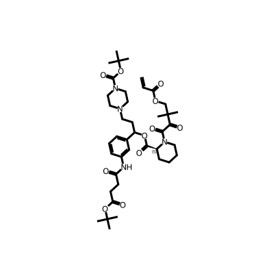 C=CC(=O)OCC(C)(C)C(=O)C(=O)N1CCCC[C@H]1C(=O)OC(CCN1CCN(C(=O)OC(C)(C)C)CC1)c1cccc(NC(=O)CCC(=O)OC(C)(C)C)c1